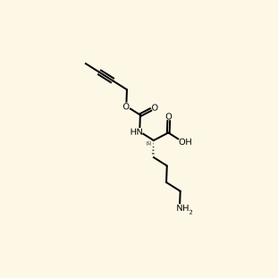 CC#CCOC(=O)N[C@@H](CCCCN)C(=O)O